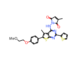 COCCOc1ccc(-c2sc3nc(-c4cccs4)nc(NN4C(=O)C=C(C)C4=O)c3c2C)cc1